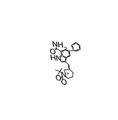 CC(C)(C)[N+]1(C(=O)[O-])CCC/C(=C/c2c[nH]c3c(C(N)=O)cc(-c4ccccc4)cc23)C1